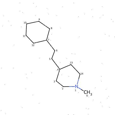 CN1CCC(CCC2CCCCC2)CC1